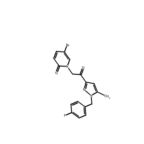 Cc1cc(C(=O)Cn2cc(Br)ccc2=O)nn1Cc1ccc(F)cc1